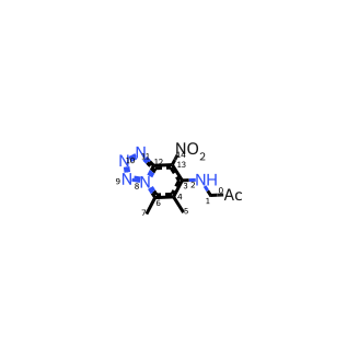 CC(=O)CNc1c(C)c(C)n2nnnc2c1[N+](=O)[O-]